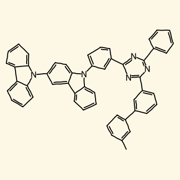 Cc1cccc(-c2cccc(-c3nc(-c4ccccc4)nc(-c4cccc(-n5c6ccccc6c6cc(-n7c8ccccc8c8ccccc87)ccc65)c4)n3)c2)c1